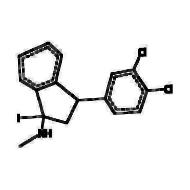 CNC1(I)CC(c2ccc(Cl)c(Cl)c2)c2ccccc21